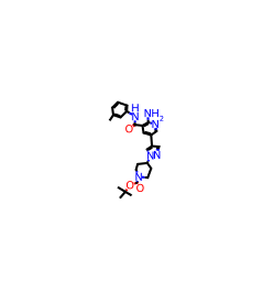 Cc1cccc(NC(=O)c2cc(-c3cnn(C4CCN(C(=O)OC(C)(C)C)CC4)c3)cnc2N)c1